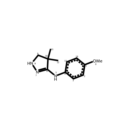 COc1ccc(NC2=NNCC2(C)C)cc1